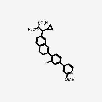 COc1cc(-c2ccc(C3=Cc4cc(C(C5CC5)[C@@H](C)C(=O)O)ccc4CC3)c(F)c2)ccn1